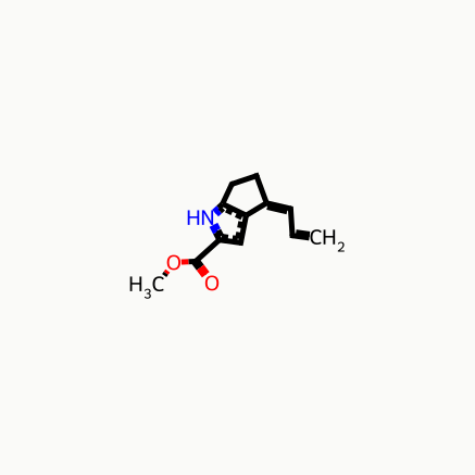 C=CC=C1CCc2[nH]c(C(=O)OC)cc21